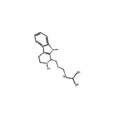 CC(=O)N1CCc2c(n(C)c3ccccc23)C1CCCNC(C(C)C)C(C)C